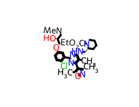 CCOC(=O)N1CCCC[C@@H]1CNc1nc(-c2cc(OC[C@H](O)CNC)ccc2Cl)nc(-c2c(C)noc2C)c1C